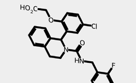 O=C(O)COc1ccc(Cl)cc1C1c2ccccc2CCN1C(=O)NCc1ccccc1F